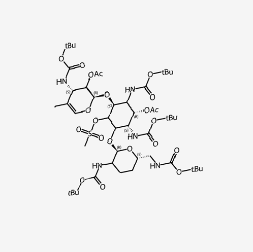 CC(=O)OC1[C@@H](O[C@@H]2C(OS(C)(=O)=O)C(O[C@H]3O[C@H](CNC(=O)OC(C)(C)C)CCC3NC(=O)OC(C)(C)C)[C@@H](NC(=O)OC(C)(C)C)[C@@H](OC(C)=O)C2NC(=O)OC(C)(C)C)OC=C(C)[C@@H]1NC(=O)OC(C)(C)C